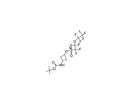 CC(C)(C)OC(=O)NC1CC(OS(=O)(=O)C(F)(F)C(F)(F)OC(F)(F)C(F)(F)I)C1